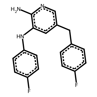 Nc1ncc(Cc2ccc(F)cc2)cc1Nc1ccc(F)cc1